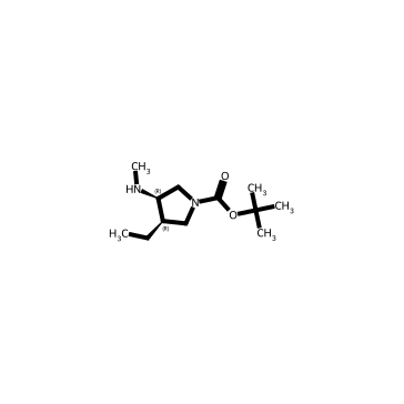 CC[C@@H]1CN(C(=O)OC(C)(C)C)C[C@@H]1NC